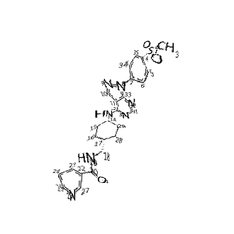 CS(=O)(=O)c1ccc(-n2ncc3c(N[C@H]4CC[C@@H](CNC(=O)c5cccnc5)CC4)ncnc32)cc1